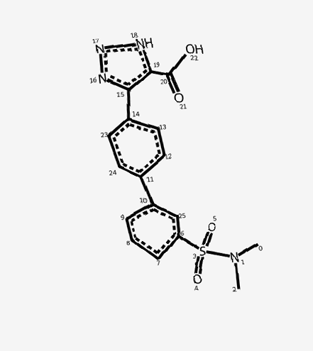 CN(C)S(=O)(=O)c1cccc(-c2ccc(-c3nn[nH]c3C(=O)O)cc2)c1